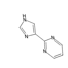 [c]1nc(-c2ncccn2)c[nH]1